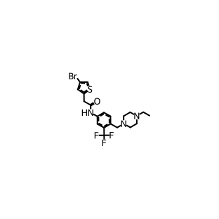 CCN1CCN(Cc2ccc(NC(=O)Cc3cc(Br)cs3)cc2C(F)(F)F)CC1